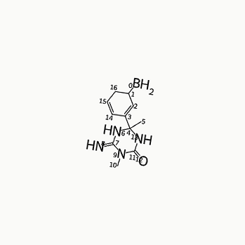 BC1C=C(C2(C)NC(=N)N(C)C(=O)N2)C=CC1